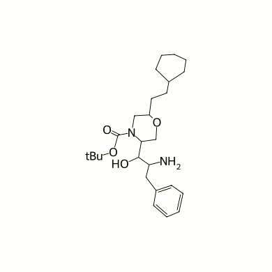 CC(C)(C)OC(=O)N1CC(CCC2CCCCC2)OCC1C(O)C(N)Cc1ccccc1